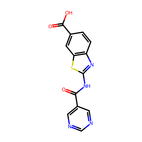 O=C(O)c1ccc2nc(NC(=O)c3cncnc3)sc2c1